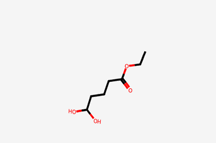 CCOC(=O)CCCC(O)O